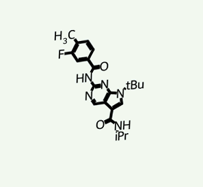 Cc1ccc(C(=O)Nc2ncc3c(C(=O)NC(C)C)cn(C(C)(C)C)c3n2)cc1F